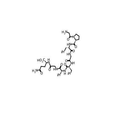 CC(C)C[C@H](NC(=O)CNC(=O)[C@H](CC(C)C)NC(=O)[C@@H]1CCCN1C(=O)CN)C(=O)N[C@H](C(=O)NCC(=O)N[C@@H](CCC(N)=O)C(=O)O)C(C)C